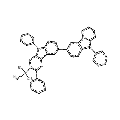 CCC(C)(C)c1cc2c(cc1-c1ccccc1)c1cc(-c3ccc4c(c3)c3ccccc3n4-c3ccccc3)ccc1n2-c1ccccc1